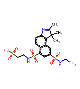 CCNS(=O)(=O)c1cc(S(=O)(=O)NCCS(=O)(=O)O)c2ccc3c(c2c1)C(C)(C)C(C)=N3